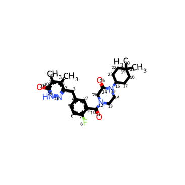 Cc1c(Cc2ccc(F)c(C(=O)N3CCN(C4CCC(C)(C)CC4)C(=O)C3)c2)n[nH]c(=O)c1C